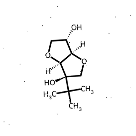 CC(C)(C)[C@@]1(O)CO[C@@H]2[C@@H](O)CO[C@@H]21